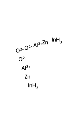 [Al+3].[Al+3].[InH3].[InH3].[O-2].[O-2].[O-2].[Zn].[Zn]